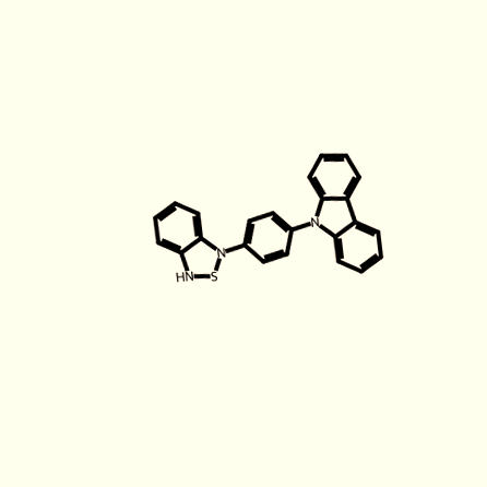 c1ccc2c(c1)NSN2c1ccc(-n2c3ccccc3c3ccccc32)cc1